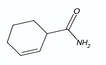 NC(=O)C1C=CCCC1